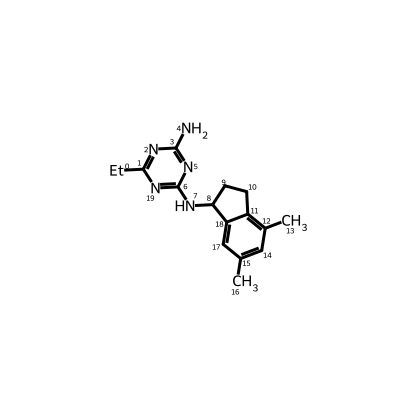 CCc1nc(N)nc(NC2CCc3c(C)cc(C)cc32)n1